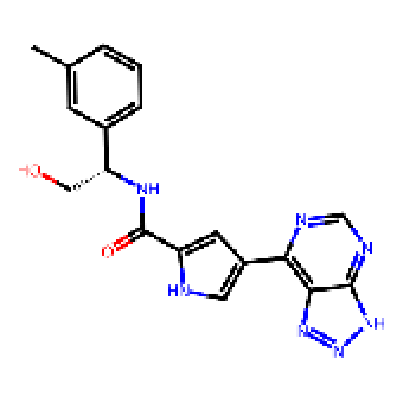 Cc1cccc([C@@H](CO)NC(=O)c2cc(-c3ncnc4[nH]nnc34)c[nH]2)c1